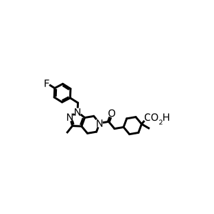 Cc1nn(Cc2ccc(F)cc2)c2c1CCN(C(=O)CC1CCC(C)(C(=O)O)CC1)C2